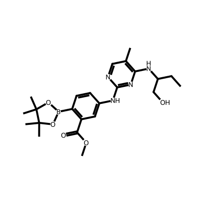 CCC(CO)Nc1nc(Nc2ccc(B3OC(C)(C)C(C)(C)O3)c(C(=O)OC)c2)ncc1C